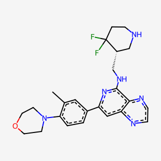 Cc1cc(-c2cc3nccnc3c(NC[C@H]3CNCCC3(F)F)n2)ccc1N1CCOCC1